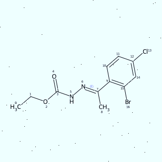 CCOC(=O)N/N=C(\C)c1ccc(Cl)cc1Br